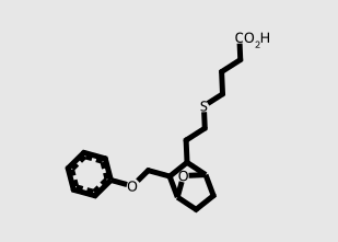 O=C(O)CCCSCCC1C2CCC(O2)C1COc1ccccc1